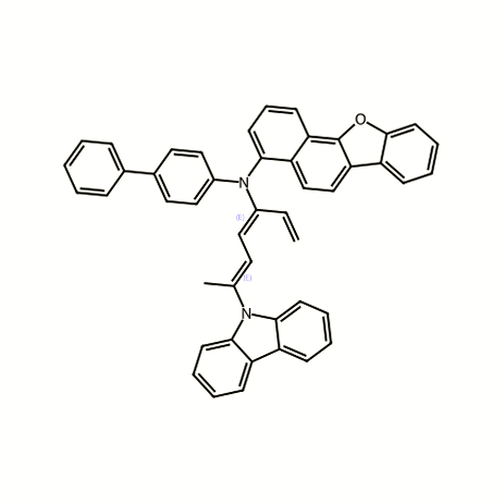 C=C/C(=C\C=C(/C)n1c2ccccc2c2ccccc21)N(c1ccc(-c2ccccc2)cc1)c1cccc2c1ccc1c3ccccc3oc21